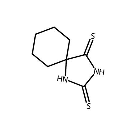 S=C1NC(=S)C2(CCCCC2)N1